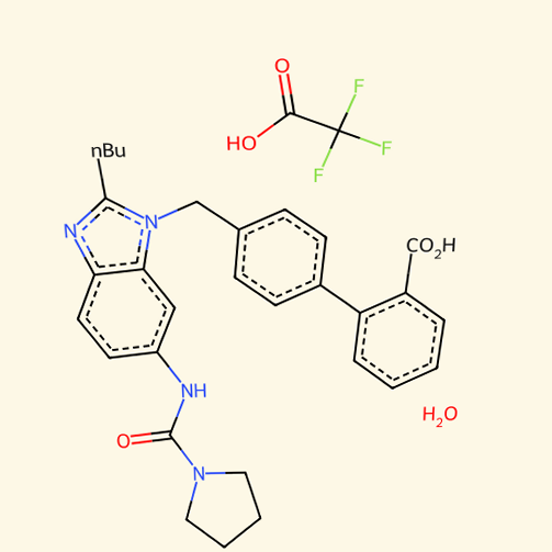 CCCCc1nc2ccc(NC(=O)N3CCCC3)cc2n1Cc1ccc(-c2ccccc2C(=O)O)cc1.O.O=C(O)C(F)(F)F